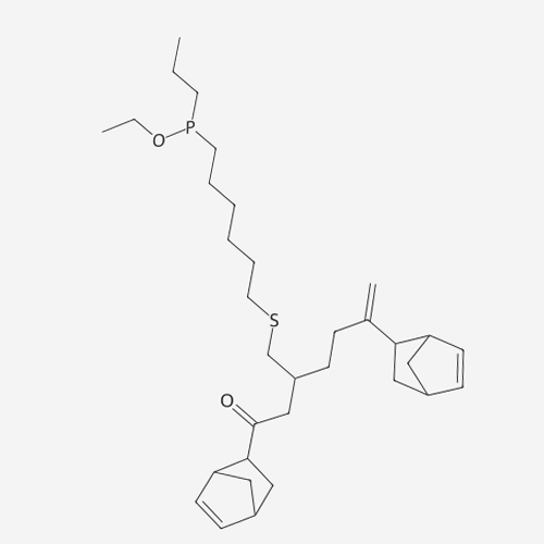 C=C(CCC(CSCCCCCCP(CCC)OCC)CC(=O)C1CC2C=CC1C2)C1CC2C=CC1C2